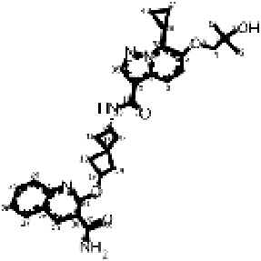 CC(C)(O)COc1ccc2c(C(=O)N[C@H]3CC4(C3)C[C@H](Oc3nc5ccccc5cc3C(N)=O)C4)cnn2c1C1CC1